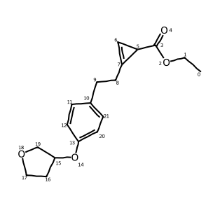 CCOC(=O)C1C=C1CCc1ccc(OC2CCOC2)cc1